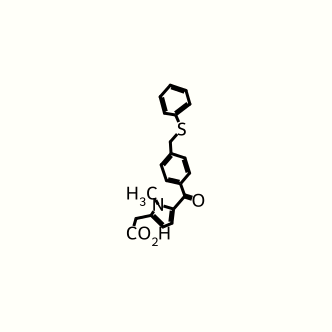 Cn1c(CC(=O)O)ccc1C(=O)c1ccc(CSc2ccccc2)cc1